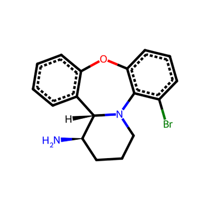 N[C@@H]1CCCN2c3c(Br)cccc3Oc3ccccc3[C@@H]12